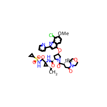 C=C[C@@H]1C[C@]1(NC(=O)[C@@H]1C[C@@H](Oc2cc(-c3ccccn3)nc3c(Cl)c(OC)ccc23)CN1C(=O)[C@@H](CC(=O)N1CCOCC1)C(C)(C)C)C(=O)NS(=O)(=O)C1CC1